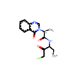 C[C@@H](C(=O)NC(CC(=O)O)C(=O)CF)n1cnc2ccccc2c1=O